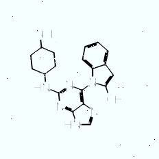 Cc1cc2ccccc2n1-c1nc(NC2CCC(N)CC2)nc2[nH]cnc12